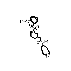 Cc1ccccc1S(=O)(=O)N1CCCC(CC(=O)NN2CCOCC2)C1